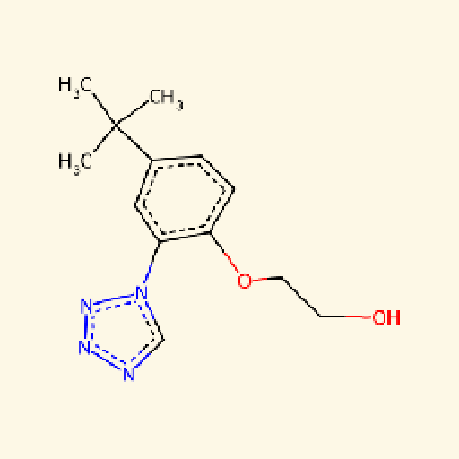 CC(C)(C)c1ccc(OCCO)c(-n2cnnn2)c1